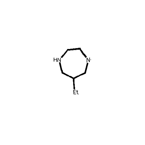 CCC1C[N]CCNC1